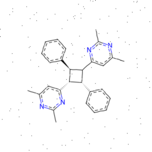 Cc1cc(C2[C@H](c3ccccc3)[C@H](c3cc(C)nc(C)n3)[C@H]2c2ccccc2)nc(C)n1